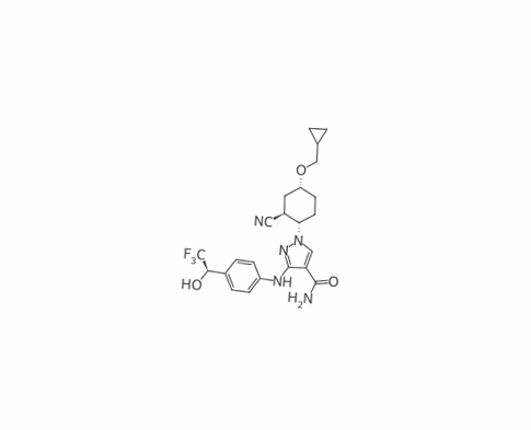 N#C[C@H]1C[C@H](OCC2CC2)CC[C@@H]1n1cc(C(N)=O)c(Nc2ccc([C@@H](O)C(F)(F)F)cc2)n1